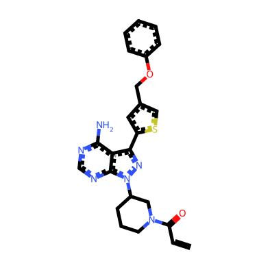 C=CC(=O)N1CCCC(n2nc(-c3cc(COc4ccccc4)cs3)c3c(N)ncnc32)C1